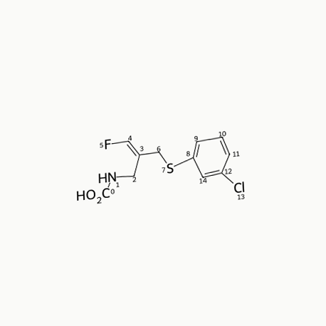 O=C(O)NC/C(=C\F)CSc1cccc(Cl)c1